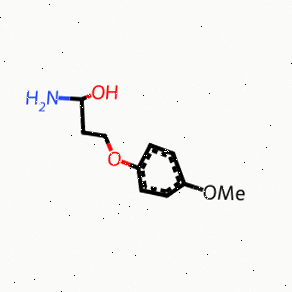 COc1ccc(OCCC(N)O)cc1